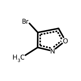 Cc1nocc1Br